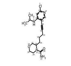 CC(C)Nc1cc(Cl)ncc1C#CCCCC1COCCN1C(N)=O